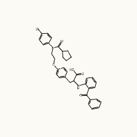 O=C(c1ccccc1)c1ccccc1NC(Cc1ccc(OCCN(C(=O)C2CCCC2)c2ccc(Cl)cc2)cc1)C(=O)O